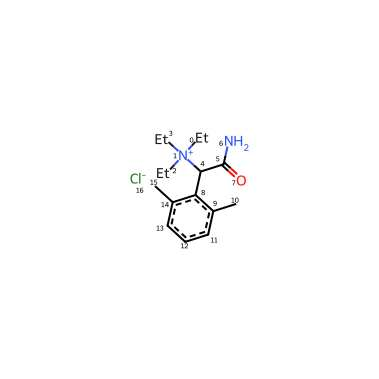 CC[N+](CC)(CC)C(C(N)=O)c1c(C)cccc1C.[Cl-]